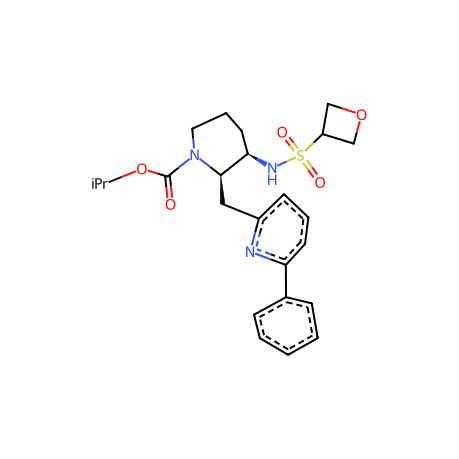 CC(C)OC(=O)N1CCC[C@@H](NS(=O)(=O)C2COC2)[C@H]1Cc1cccc(-c2ccccc2)n1